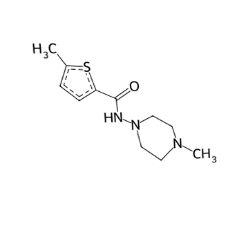 Cc1ccc(C(=O)NN2CCN(C)CC2)s1